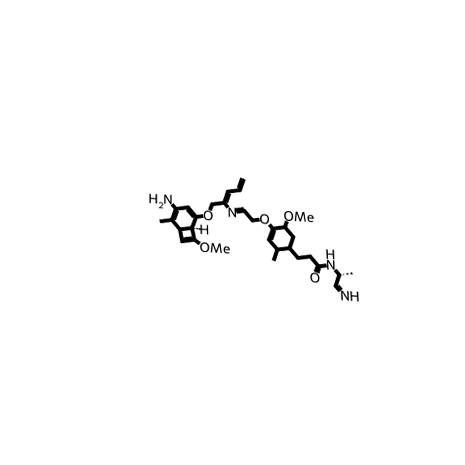 C=C/C=C(COC1=CC(N)=C(C)C2C=C(OC)[C@H]12)\N=C\COC1=CC(C)C(CCC(=O)N[C@H](C)C=N)CC1OC